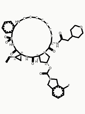 C=C[C@@H]1C[C@@]12NC(=O)[C@@H]1C[C@@H](OC(=O)N3Cc4cccc(F)c4C3)CN1C(=O)[C@@H](NC(=O)CC1CCOCC1)CCCCCCCNc1ccccc1S(=O)(=O)NC2=O